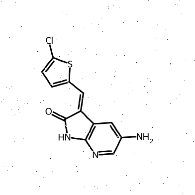 Nc1cnc2c(c1)C(=Cc1ccc(Cl)s1)C(=O)N2